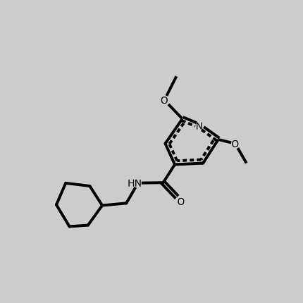 COc1cc(C(=O)NCC2CCCCC2)cc(OC)n1